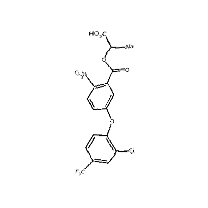 O=C(O[CH]([Na])C(=O)O)c1cc(Oc2ccc(C(F)(F)F)cc2Cl)ccc1[N+](=O)[O-]